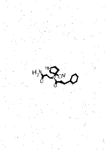 N#CC1(N(CCC(N)=O)C(=O)[CH]CC2CCCCC2)CCNC1